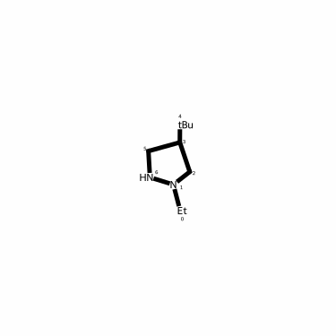 CCN1CC(C(C)(C)C)CN1